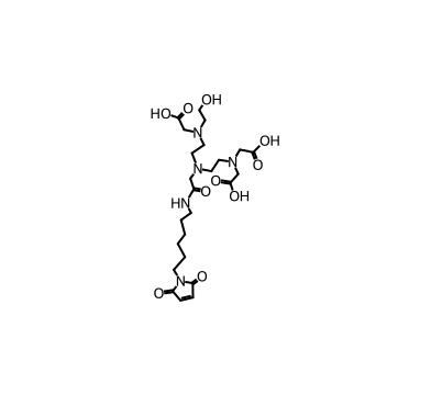 O=C(O)CN(CCO)CCN(CCN(CC(=O)O)CC(=O)O)CC(=O)NCCCCCCN1C(=O)C=CC1=O